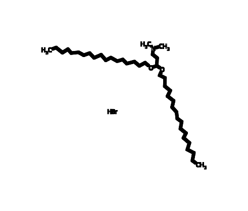 Br.CCCCCCCCCCCCCCCCCCOC(CCN(C)C)OCCCCCCCCCCCCCCCCCC